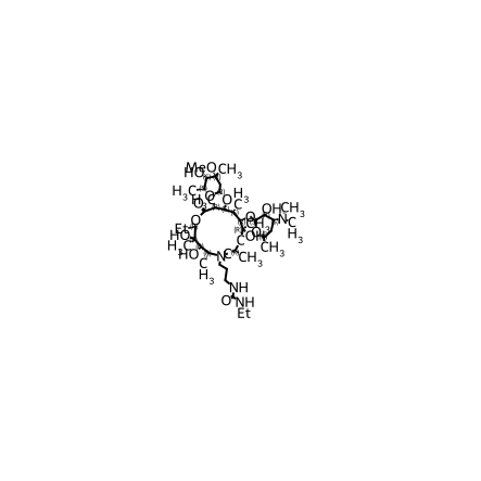 CCNC(=O)NCCCN1C[C@H](C)C[C@@](C)(O)[C@H](O[C@@H]2O[C@H](C)C[C@H](N(C)C)[C@H]2O)[C@@H](C)[C@H](O[C@H]2C[C@@](C)(OC)[C@@H](O)[C@H](C)O2)[C@@H](C)C(=O)O[C@H](CC)[C@@](C)(O)[C@H](O)[C@H]1C